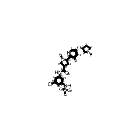 CN1CC[C@H](Oc2cnc(C3CC(C(=O)Nc4cc(Cl)cc(NS(C)(=O)=O)c4)CN3C)c(F)c2)C1